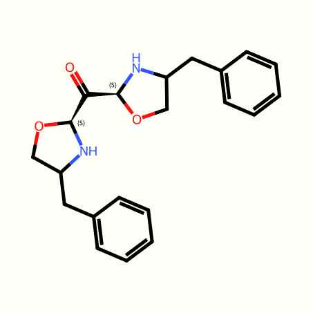 O=C([C@H]1NC(Cc2ccccc2)CO1)[C@H]1NC(Cc2ccccc2)CO1